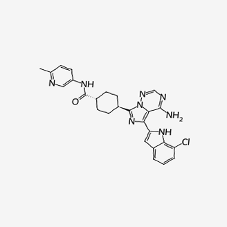 Cc1ccc(NC(=O)[C@H]2CC[C@H](c3nc(-c4cc5cccc(Cl)c5[nH]4)c4c(N)ncnn43)CC2)cn1